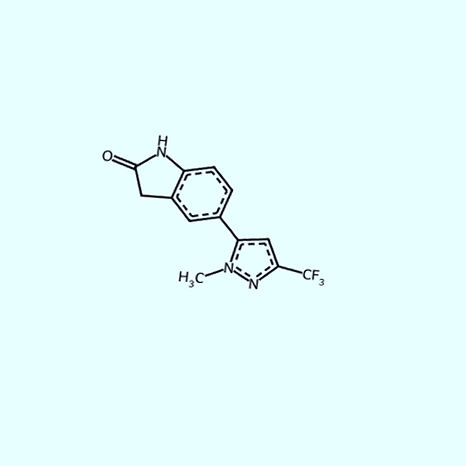 Cn1nc(C(F)(F)F)cc1-c1ccc2c(c1)CC(=O)N2